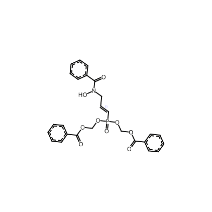 O=C(OCOP(=O)(/C=C/CN(O)C(=O)c1ccccc1)OCOC(=O)c1ccccc1)c1ccccc1